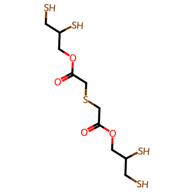 O=C(CSCC(=O)OCC(S)CS)OCC(S)CS